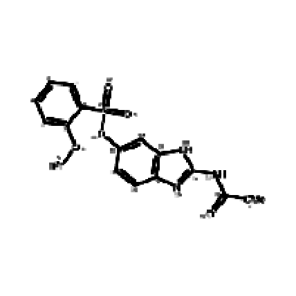 CCCOc1ccccc1S(=O)(=O)Oc1ccc2nc(NC(=O)OC)[nH]c2c1